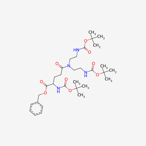 CC(C)(C)OC(=O)NCCN(CCNC(=O)OC(C)(C)C)C(=O)CCC(NC(=O)OC(C)(C)C)C(=O)OCc1ccccc1